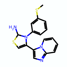 CSc1cccc(N2C(c3cnc4ccccn34)=CSC2N)c1